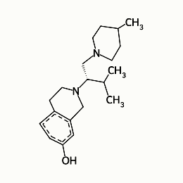 CC1CCN(C[C@H](C(C)C)N2CCc3ccc(O)cc3C2)CC1